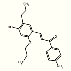 CCCOc1cc(O)c(CCC)cc1C=CC(=O)c1ccc(N)cc1